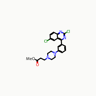 COC(=O)CCN1CCN(c2cccc(-c3nc(Cl)nc4ccc(Cl)cc34)c2)CC1